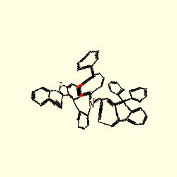 c1ccc(-c2ccc(N(c3ccc4c(c3)C(c3ccccc3)(c3ccccc3)c3ccccc3-4)c3ccccc3-c3cccc4oc5c6ccccc6ccc5c34)cc2)cc1